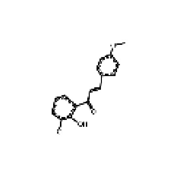 COc1ccc(/C=C/C(=O)c2cccc(Cl)c2O)cc1